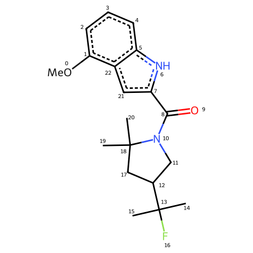 COc1cccc2[nH]c(C(=O)N3CC(C(C)(C)F)CC3(C)C)cc12